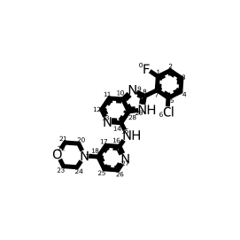 Fc1cccc(Cl)c1-c1nc2ccnc(Nc3cc(N4CCOCC4)ccn3)c2[nH]1